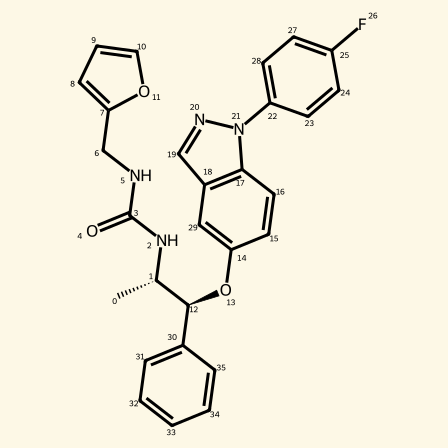 C[C@H](NC(=O)NCc1ccco1)[C@@H](Oc1ccc2c(cnn2-c2ccc(F)cc2)c1)c1ccccc1